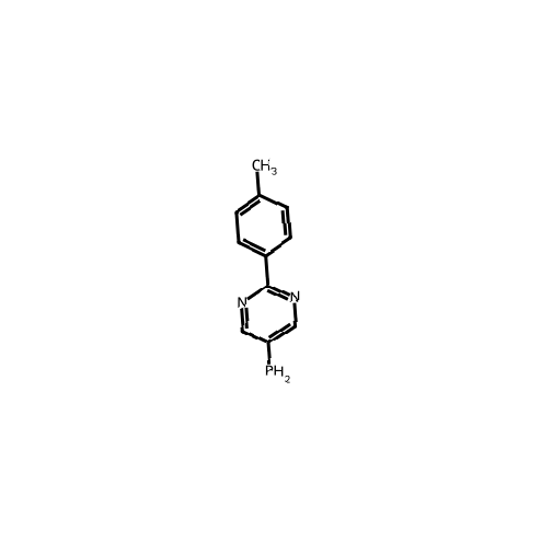 Cc1ccc(-c2ncc(P)cn2)cc1